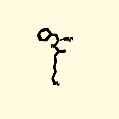 NCCCCCC(=O)N[C@H](Cc1ccccc1)C(=O)O